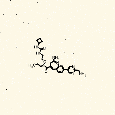 CCCN(OCCNC(=O)NC1CCC1)C(=O)C1=Cc2ccc(-c3cnc(CN)nc3)cc2N=C(N)C1